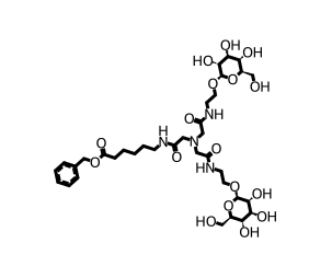 O=C(CN(CC(=O)NCCO[C@@H]1O[C@H](CO)[C@@H](O)[C@H](O)[C@H]1O)CC(=O)NCCO[C@@H]1O[C@H](CO)[C@@H](O)[C@H](O)[C@H]1O)NCCCCCC(=O)OCc1ccccc1